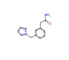 NC(=O)Cc1cccc(Cn2cccn2)c1